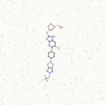 CC(C)(F)Cn1cc2c(n1)CN(c1ccc(-c3nc4nc(O[C@@H]5CO[C@H](CO)C5)[nH]c4cc3Cl)cc1)C2